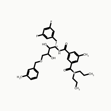 CCCN(CCC)C(=O)c1cc(C)cc(C(=O)N[C@@H](Cc2cc(F)cc(F)c2)C(O)C(O)COCc2cccc(C)c2)c1